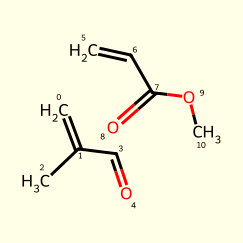 C=C(C)C=O.C=CC(=O)OC